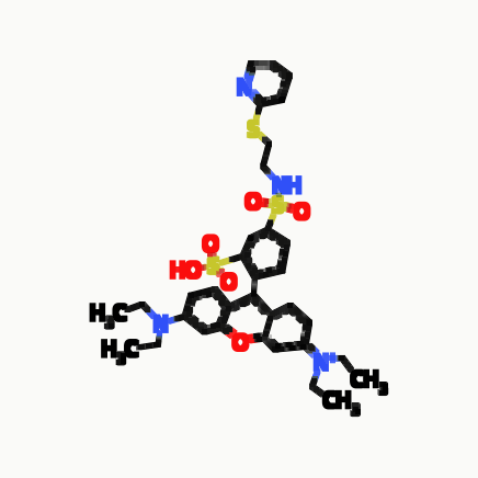 CCN(CC)c1ccc2c(-c3ccc(S(=O)(=O)NCCSc4ccccn4)cc3S(=O)(=O)O)c3ccc(=[N+](CC)CC)cc-3oc2c1